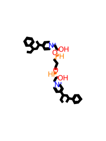 CCC(CC(C)c1cc[n+](CC(O)OPCCCOPC(O)C[n+]2ccc(C(CC)CC(C)c3ccccc3)cc2)cc1)c1ccccc1